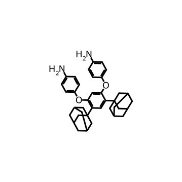 Nc1ccc(Oc2cc(Oc3ccc(N)cc3)c(C34CC5CC(CC(C5)C3)C4)cc2C23CC4CC(CC(C4)C2)C3)cc1